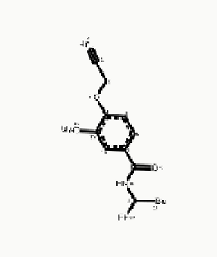 C#CCOc1ccc(C(=O)NC(CC)C(C)CC)cc1OC